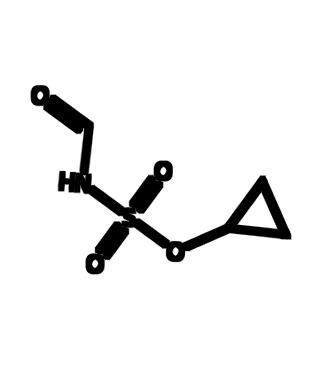 O=CNS(=O)(=O)OC1CC1